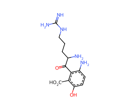 N=C(N)NCCCC(N)C(=O)c1c(N)ccc(O)c1C(=O)O